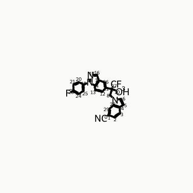 N#Cc1ccc2ccn(CC(O)(c3ccc4c(cnn4-c4ccc(F)cc4)c3)C(F)(F)F)c2c1